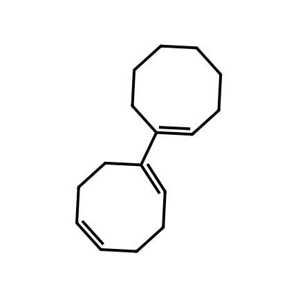 C1=CCCC(C2=CCCCCCC2)=CCC1